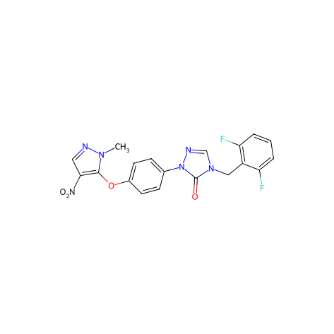 Cn1ncc([N+](=O)[O-])c1Oc1ccc(-n2ncn(Cc3c(F)cccc3F)c2=O)cc1